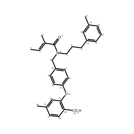 CC=C(C)C(=O)N(CCCc1cccc(C)c1)Cc1ccc(Oc2cc(C)ccc2C(=O)O)cc1